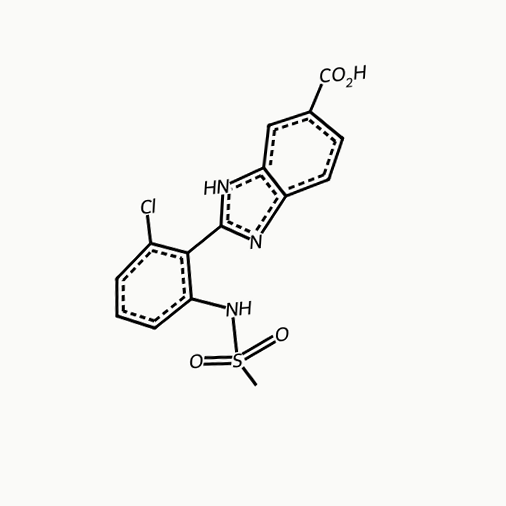 CS(=O)(=O)Nc1cccc(Cl)c1-c1nc2ccc(C(=O)O)cc2[nH]1